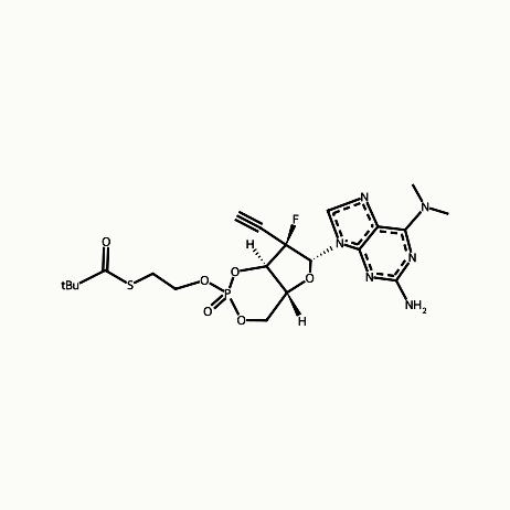 C#C[C@@]1(F)[C@@H]2OP(=O)(OCCSC(=O)C(C)(C)C)OC[C@H]2O[C@H]1n1cnc2c(N(C)C)nc(N)nc21